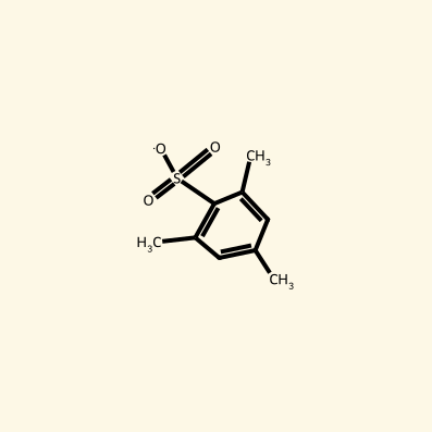 Cc1cc(C)c(S([O])(=O)=O)c(C)c1